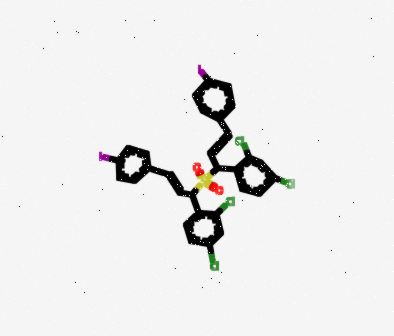 O=S(=O)(C(C=Cc1ccc(I)cc1)c1ccc(Cl)cc1Cl)C(C=Cc1ccc(I)cc1)c1ccc(Cl)cc1Cl